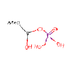 COB(O)OP(=O)(O)O